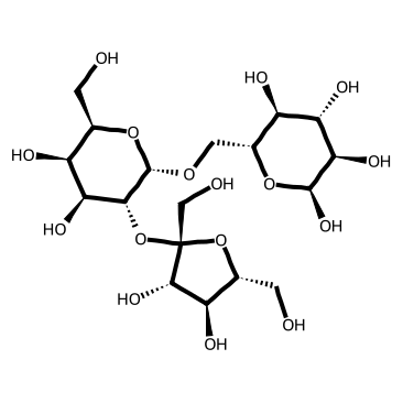 OC[C@H]1O[C@H](OC[C@H]2O[C@H](O)[C@H](O)[C@@H](O)[C@@H]2O)[C@H](O[C@]2(CO)O[C@H](CO)[C@@H](O)[C@@H]2O)[C@@H](O)[C@H]1O